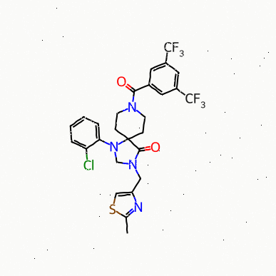 Cc1nc(CN2CN(c3ccccc3Cl)C3(CCN(C(=O)c4cc(C(F)(F)F)cc(C(F)(F)F)c4)CC3)C2=O)cs1